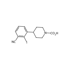 N#Cc1cccc(C2CCN(C(=O)O)CC2)c1I